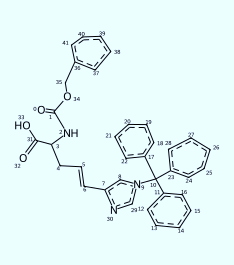 O=C(NC(CC=Cc1cn(C(c2ccccc2)(c2ccccc2)c2ccccc2)cn1)C(=O)O)OCc1ccccc1